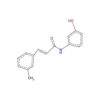 Cc1cccc(C=CC(=O)Nc2cccc(O)c2)c1